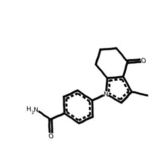 Cc1cn(-c2ccc(C(N)=O)cc2)c2c1C(=O)CCC2